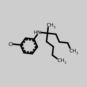 CCCCC(C)(CCCC)Nc1cccc(Cl)c1